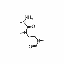 CN(C=O)CCN(C)C(=O)NN